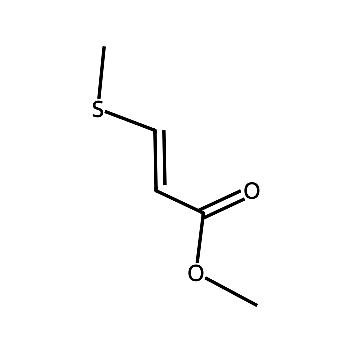 COC(=O)C=CSC